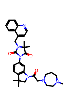 CN1CCCN(CC(=O)N2CC(C)(C)c3ccc(N4C(=O)N(Cc5ccnc6ccccc56)C(C)(C)C4=O)cc32)CC1